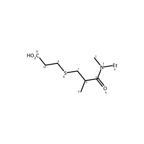 CCN(C)C(=O)C(C)CSCCC(=O)O